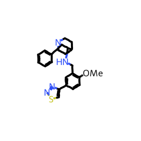 COc1ccc(-c2csnn2)cc1CNC1C2CCN(CC2)C1c1ccccc1